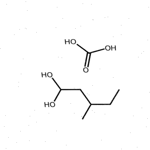 CCC(C)CC(O)O.O=C(O)O